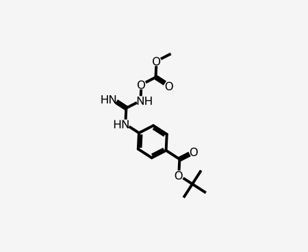 COC(=O)ONC(=N)Nc1ccc(C(=O)OC(C)(C)C)cc1